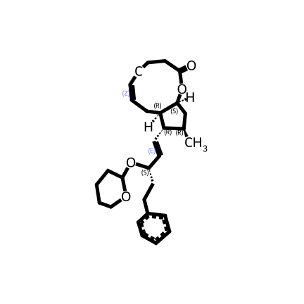 C[C@@H]1C[C@@H]2OC(=O)CCC/C=C\C[C@@H]2[C@H]1/C=C/[C@H](CCc1ccccc1)OC1CCCCO1